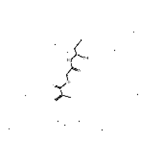 C=C(C)C(=O)NCC(=O)NC(O)CC